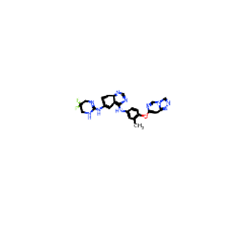 Cc1cc(Nc2ncnc3ccc(NC4=NCC(F)(F)CN4)cc23)ccc1Oc1cc2nncn2cn1